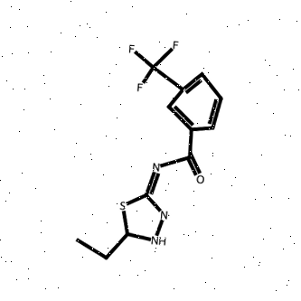 CCC1N[N]C(=NC(=O)c2cccc(C(F)(F)F)c2)S1